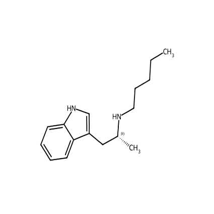 CCCCCN[C@H](C)Cc1c[nH]c2ccccc12